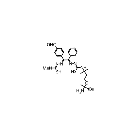 CN/C(S)=N/N=C(/C(=N/N=C(\S)NC(C)(C)CCOC(C)(N)C(C)(C)C)c1ccccc1)c1ccc(C=O)cc1